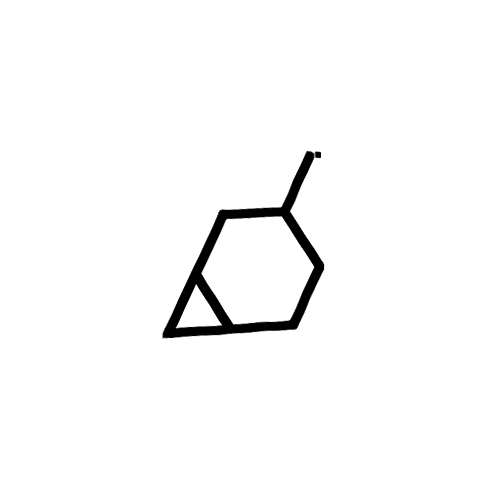 [CH2]C1CCC2CC2C1